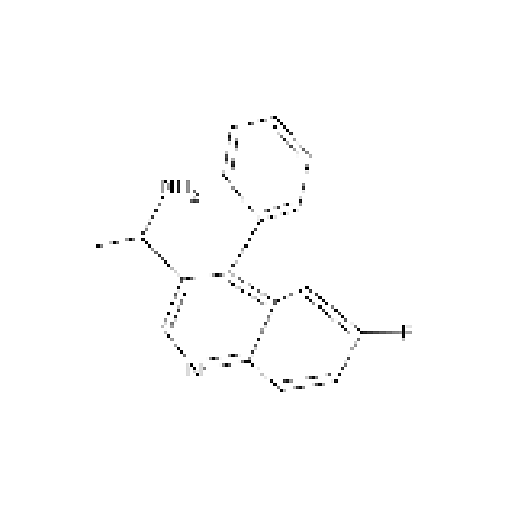 CC(N)c1cnc2ccc(F)cc2c1-c1ccccc1